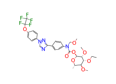 CCO[C@@H]1[C@@H](OC)[C@H](C)O[C@@H](OC(=O)N(COC)c2ccc(-c3ncn(-c4ccc(OC(F)(F)C(F)(F)F)cc4)n3)cc2)[C@@H]1OC